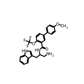 COc1ccc(-c2ccc(OC(F)(F)F)c(C(=O)NC(CN)Cc3c[nH]c4ccccc34)c2)cc1